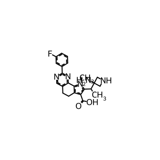 CC(c1c(C(=O)O)c2c(n1C)-c1nc(-c3cccc(F)c3)ncc1CC2)C1(N)CNC1